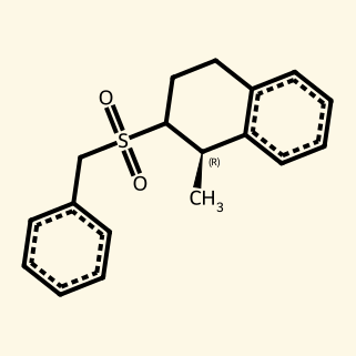 C[C@@H]1c2ccccc2CCC1S(=O)(=O)Cc1ccccc1